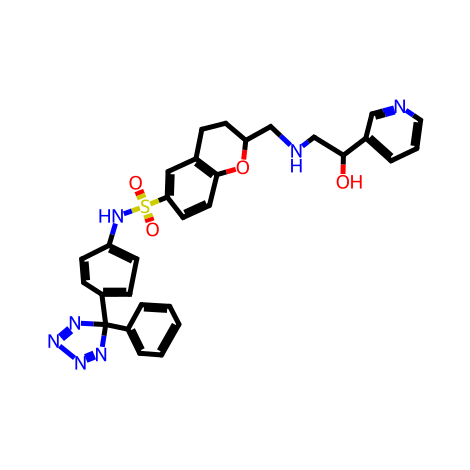 O=S(=O)(Nc1ccc(C2(c3ccccc3)N=NN=N2)cc1)c1ccc2c(c1)CCC(CNCC(O)c1cccnc1)O2